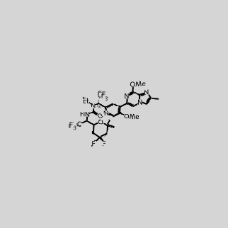 CCN(C(=O)NC(C1CC(F)(F)CC(C)(C)O1)C(F)(F)F)[C@@H](c1cc(-c2cn3cc(C)nc3c(OC)n2)c(OC)cn1)C(F)(F)F